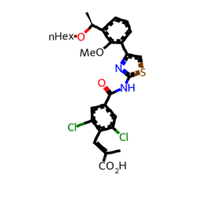 CCCCCCO[C@@H](C)c1cccc(-c2csc(NC(=O)c3cc(Cl)c(C=C(C)C(=O)O)c(Cl)c3)n2)c1OC